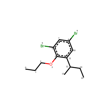 C[CH]COc1c(Br)cc(Br)cc1C(C)CC